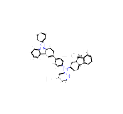 CC1C=C(N(C2=CC=C3c4ccccc4C(C)(C)C3C2)c2ccc(C3=CC4c5ccccc5N(C5=CC=CCC5)C4C=C3)cc2)N=CC1